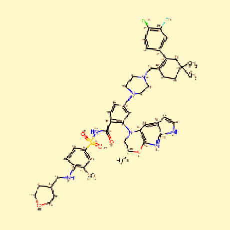 C[C@@H]1CN(c2cc(N3CCN(CC4=C(c5ccc(Cl)c(F)c5)CC(C)(C)CC4)CC3)ccc2C(=O)NS(=O)(=O)c2ccc(NCC3CCOCC3)c([N+](=O)[O-])c2)c2cc3cc[nH]c3nc2O1